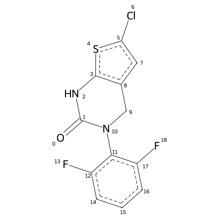 O=C1Nc2sc(Cl)cc2CN1c1c(F)cccc1F